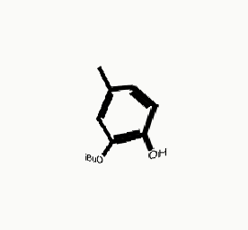 Cc1ccc(O)c(OCC(C)C)c1